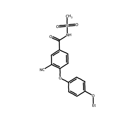 CCOc1ccc(Oc2ccc(C(=O)NS(C)(=O)=O)cc2C#N)cc1